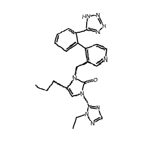 CCCc1cn(-c2ncnn2CC)c(=O)n1Cc1cnccc1-c1ccccc1-c1nnn[nH]1